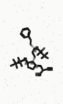 CC(C)(C)[Si](C)(C)O[C@@H](CCc1ccccc1)CC[C@@H]1[C@@H](CC(O)O)CC[C@H]1O[Si](C)(C)C(C)(C)C